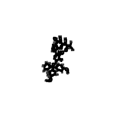 COc1ccc(C(OC[C@H]2S[C@@H](n3nnc4c(=O)[nH]c(NC(=O)C(C)C)nc43)[C@H](O)[C@@H]2F)(c2ccccc2)c2ccc(OC)cc2)cc1